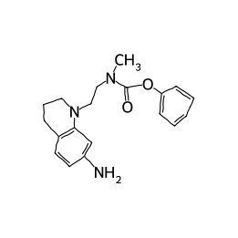 CN(CCN1CCCc2ccc(N)cc21)C(=O)Oc1ccccc1